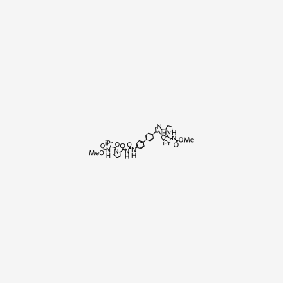 COC(=O)NC(C(=O)N1CCCC1C(=O)NC(=O)Nc1ccc(-c2ccc(-c3cnc(C4CCCN4C(=O)C(NC(=O)OC)C(C)C)[nH]3)cc2)cc1)C(C)C